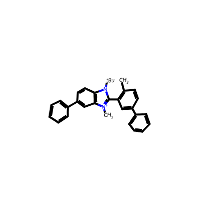 Cc1ccc(-c2ccccc2)cc1-c1n(C(C)(C)C)c2ccc(-c3ccccc3)cc2[n+]1C